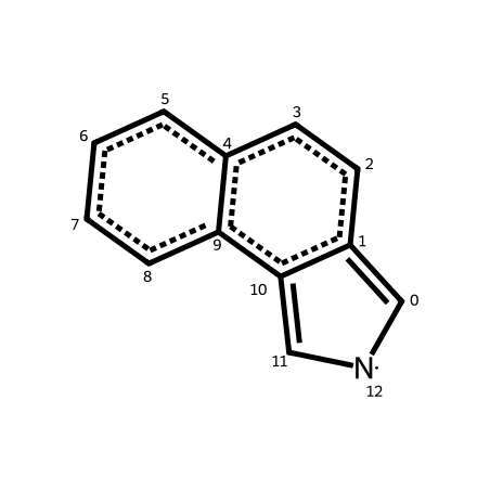 C1=c2ccc3ccccc3c2=C[N]1